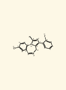 Cc1nc(-c2ccccc2F)c2n1-c1ccc(Cl)cc1C=NC2